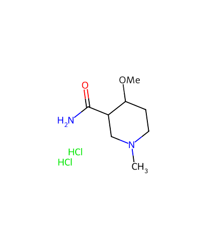 COC1CCN(C)CC1C(N)=O.Cl.Cl